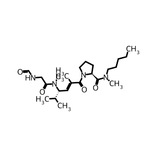 CCCCCN(C)C(=O)[C@@H]1CCCN1C(=O)/C(C)=C/[C@H](C(C)C)N(C)C(=O)CNC=O